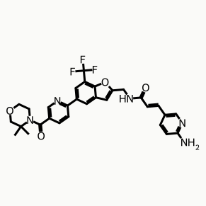 CC1(C)COCCN1C(=O)c1ccc(-c2cc(C(F)(F)F)c3oc(CNC(=O)/C=C/c4ccc(N)nc4)cc3c2)nc1